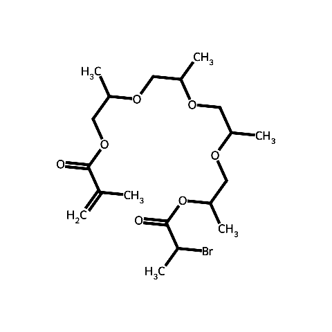 C=C(C)C(=O)OCC(C)OCC(C)OCC(C)OCC(C)OC(=O)C(C)Br